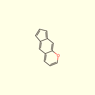 c1cc2cc3cccoc3cc2c1